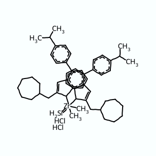 CC(C)c1ccc(-c2cccc3c2C=C(CC2CCCCCC2)[CH]3[Zr]([CH3])([CH3])(=[SiH2])[CH]2C(CC3CCCCCC3)=Cc3c(-c4ccc(C(C)C)cc4)cccc32)cc1.Cl.Cl